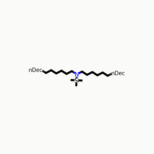 CCCCCCCCCCCCCCCCN(CCCCCCCCCCCCCCCC)[Si](C)(C)C